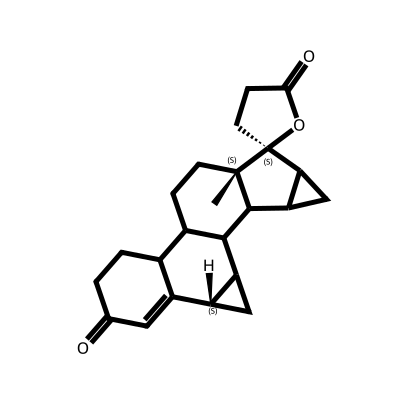 C[C@]12CCC3C4CCC(=O)C=C4[C@H]4CC4C3C1C1CC1[C@@]21CCC(=O)O1